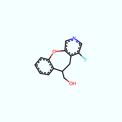 OCC1Cc2c(F)cncc2Oc2ccccc21